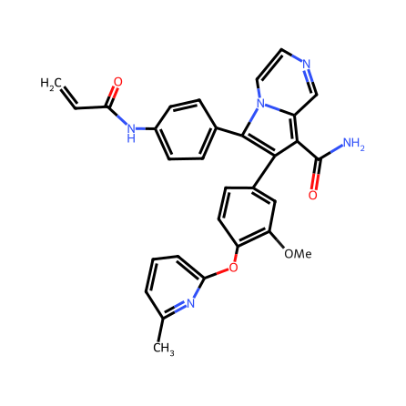 C=CC(=O)Nc1ccc(-c2c(-c3ccc(Oc4cccc(C)n4)c(OC)c3)c(C(N)=O)c3cnccn23)cc1